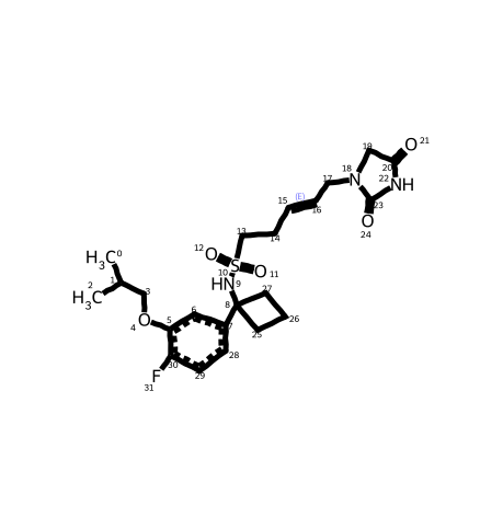 CC(C)COc1cc(C2(NS(=O)(=O)CC/C=C/CN3CC(=O)NC3=O)CCC2)ccc1F